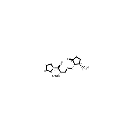 CC(=O)N[C@@H](CSC[C@@H]1C(=O)CC[C@H]1C(=O)O)C(=O)N1CCCC1